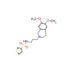 COc1cc2c(cc1OC)CN(CCCNS(=O)(=O)c1ccsc1)CC2